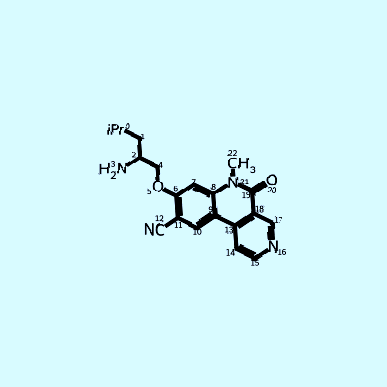 CC(C)CC(N)COc1cc2c(cc1C#N)c1ccncc1c(=O)n2C